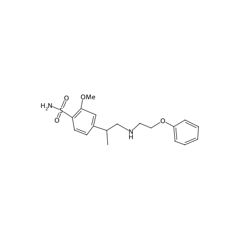 COc1cc(C(C)CNCCOc2ccccc2)ccc1S(N)(=O)=O